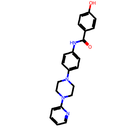 O=C(Nc1ccc(N2CCN(c3ccccn3)CC2)cc1)c1ccc(O)cc1